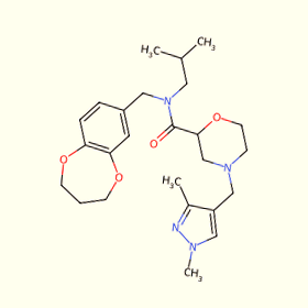 Cc1nn(C)cc1CN1CCOC(C(=O)N(Cc2ccc3c(c2)OCCCO3)CC(C)C)C1